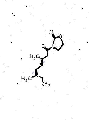 CC/C(C)=C\C=C(/C)CC(=O)N1CCOC1=O